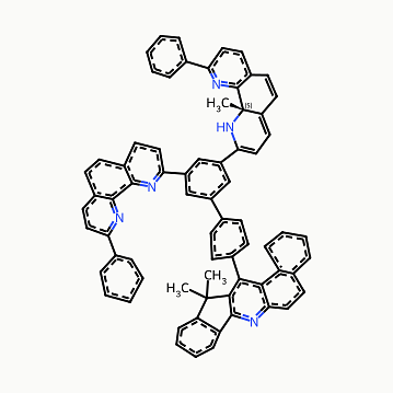 CC1(C)c2ccccc2-c2nc3ccc4ccccc4c3c(-c3ccc(-c4cc(C5=CC=C6C=Cc7ccc(-c8ccccc8)nc7[C@@]6(C)N5)cc(-c5ccc6ccc7ccc(-c8ccccc8)nc7c6n5)c4)cc3)c21